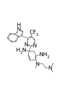 CN(C)CCN(C)C1=C(N)CC(N)(c2ncc(C(F)(F)F)c(-c3c[nH]c4ccccc34)n2)C=C1